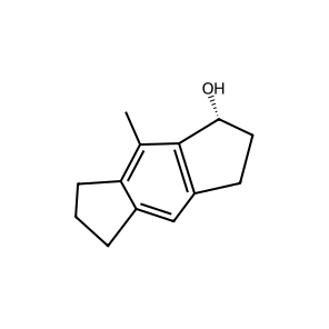 Cc1c2c(cc3c1[C@H](O)CC3)CCC2